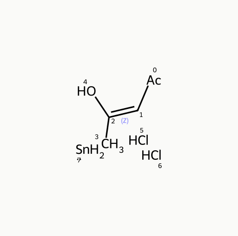 CC(=O)/C=C(/C)O.Cl.Cl.[SnH2]